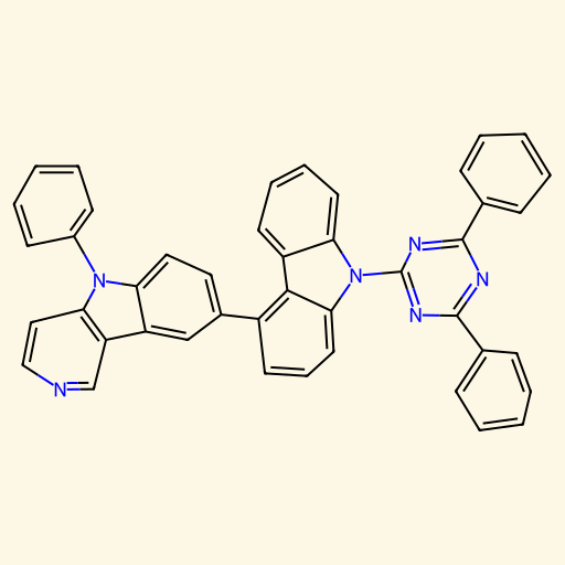 c1ccc(-c2nc(-c3ccccc3)nc(-n3c4ccccc4c4c(-c5ccc6c(c5)c5cnccc5n6-c5ccccc5)cccc43)n2)cc1